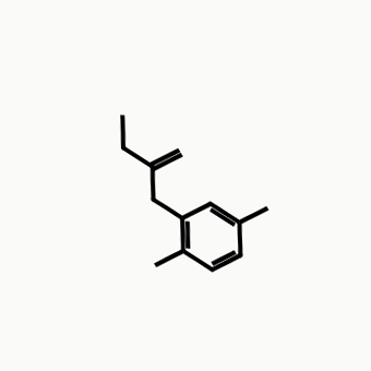 C=C(CC)Cc1cc(C)ccc1C